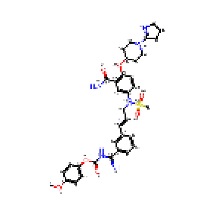 COc1ccc(OC(=O)NC(=N)c2cccc(/C=C/CN(c3ccc(OC4CCN(C5=NCCC5)CC4)c(C(N)=O)c3)S(C)(=O)=O)c2)cc1